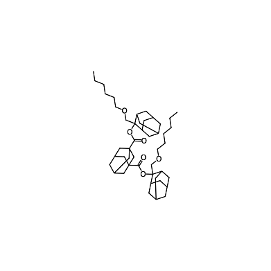 CCCCCCOCC1(OC(=O)C23CC4CC(C2)CC(C(=O)OC2(COCCCCCC)C5CC6CC(C5)CC2C6)(C4)C3)C2CC3CC(C2)CC1C3